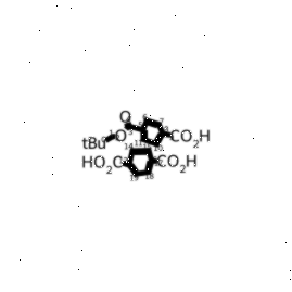 CC(C)(C)COC(=O)c1ccc(C(=O)O)cc1.O=C(O)c1ccc(C(=O)O)cc1